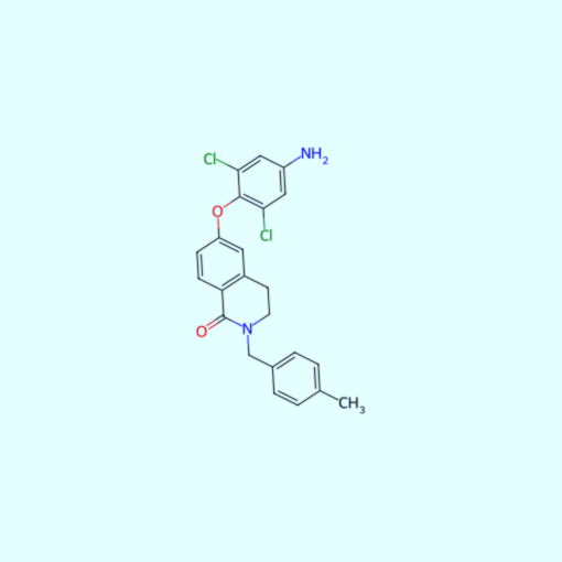 Cc1ccc(CN2CCc3cc(Oc4c(Cl)cc(N)cc4Cl)ccc3C2=O)cc1